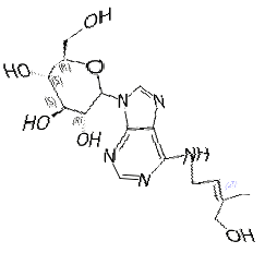 C/C(=C/CNc1ncnc2c1ncn2C1O[C@H](CO)[C@@H](O)[C@H](O)[C@H]1O)CO